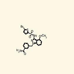 COc1cccc2c1c(NS(=O)(=O)c1ccc(Br)s1)nn2Cc1cccc(C(N)=O)c1